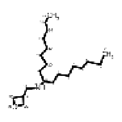 CCCCCCCCC(CCCCCCCC)NCC1COC1